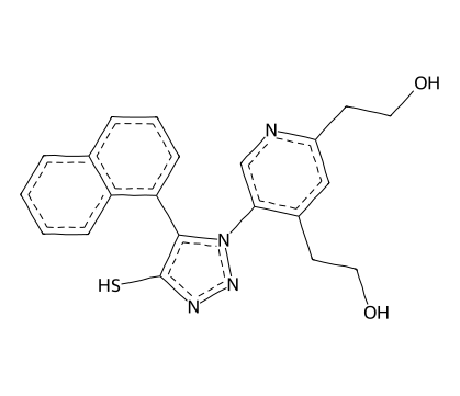 OCCc1cc(CCO)c(-n2nnc(S)c2-c2cccc3ccccc23)cn1